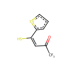 O=C(/C=C(/S)c1cccs1)C(F)(F)F